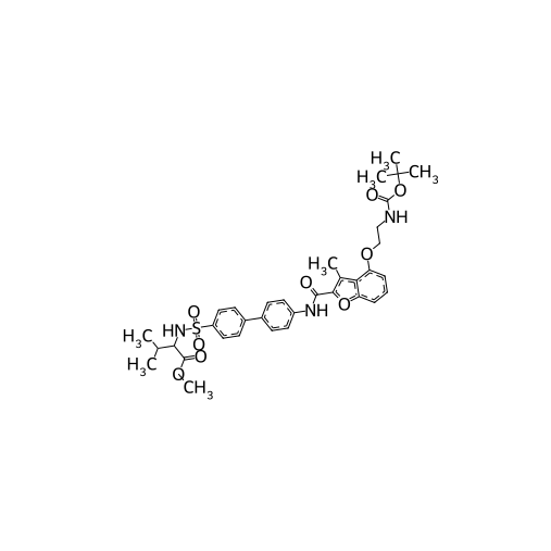 COC(=O)C(NS(=O)(=O)c1ccc(-c2ccc(NC(=O)c3oc4cccc(OCCNC(=O)OC(C)(C)C)c4c3C)cc2)cc1)C(C)C